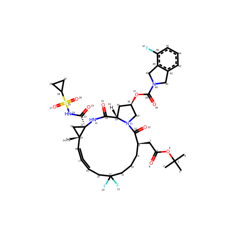 CC(C)(C)OC(=O)C[C@H]1CCCC(F)(F)CC=C=C[C@@H]2C[C@@]2(C(=O)NS(=O)(=O)C2CC2)NC(=O)[C@@H]2C[C@@H](OC(=O)N3Cc4cccc(F)c4C3)CN2C1=O